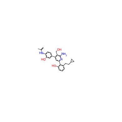 C=C(C)Nc1ccc(-c2cc(-c3c(O)cccc3CCC3CC3)nc(N)c2CO)cc1O